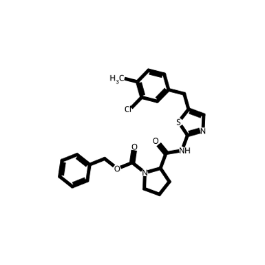 Cc1ccc(Cc2cnc(NC(=O)C3CCCN3C(=O)OCc3ccccc3)s2)cc1Cl